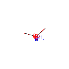 CCCCCCCCC=CCCCCCCCC(=O)OCC(OCCN(CC)CC)C(OC(=O)CCCCCCCC=CCCCCCCCC)C(N)=O